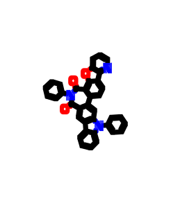 O=c1c2cc3c4ccccc4n(-c4ccccc4)c3cc2c2ccc3c4ncccc4oc3c2c(=O)n1-c1ccccc1